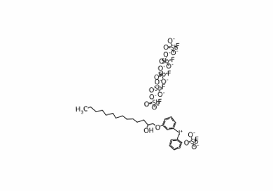 CCCCCCCCCCCCC(O)COc1cccc([I+]c2ccccc2)c1.[O]=[Sb]([O-])([O-])[F].[O]=[Sb]([O-])([O-])[F].[O]=[Sb]([O-])([O-])[F].[O]=[Sb]([O-])([O-])[F].[O]=[Sb]([O-])([O-])[F].[O]=[Sb]([O-])([O-])[F]